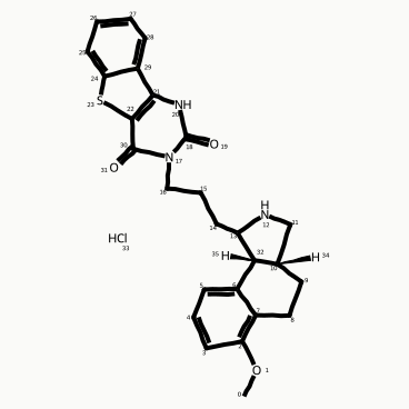 COc1cccc2c1CC[C@H]1CNC(CCCn3c(=O)[nH]c4c(sc5ccccc54)c3=O)[C@@H]21.Cl